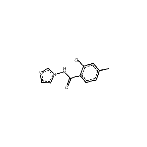 Cc1ccc(C(=O)Nn2ccnc2)c(Cl)c1